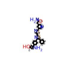 C[C@]1(O)C[C@@](N)(c2ccc(-c3nc(-c4cnc(-c5cncc(CC(N)=O)c5)s4)sc3-c3ccccc3)cc2)C1